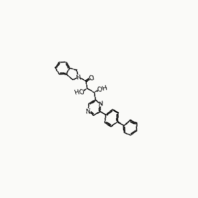 O=C([C@H](O)[C@@H](O)c1cncc(-c2ccc(-c3ccccc3)cc2)n1)N1Cc2ccccc2C1